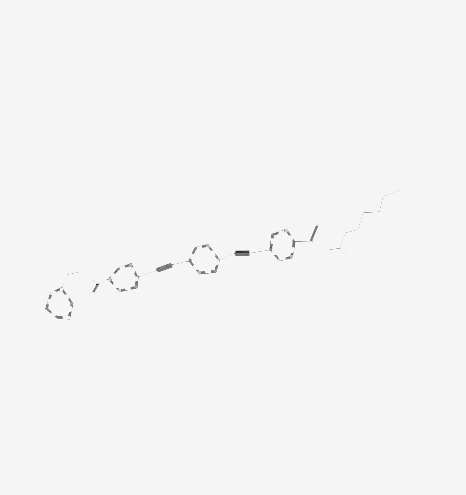 CCCCCCCC(C)OC(=O)c1ccc(C#Cc2ccc(C#Cc3ccc(C(=O)OC(C)c4ccccc4)cc3)cc2)cc1